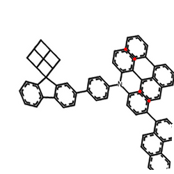 c1ccc(-c2cccc3cccc(-c4ccccc4N(c4ccc(-c5ccc6c(c5)C5(c7ccccc7-6)C6CC7CC8CC5C786)cc4)c4ccc(-c5cccc6c5ccc5ccccc56)cc4)c23)cc1